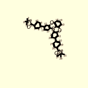 CC1(C)COC(c2ccc(-c3ccc4c(c3)Oc3cccc5c3B4c3ccc(-c4ccc(C6=NC(C)(C)CO6)cc4)cc3O5)cc2)=N1